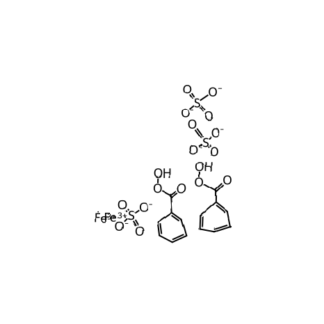 O=C(OO)c1ccccc1.O=C(OO)c1ccccc1.O=S(=O)([O-])[O-].O=S(=O)([O-])[O-].O=S(=O)([O-])[O-].[Fe+3].[Fe+3]